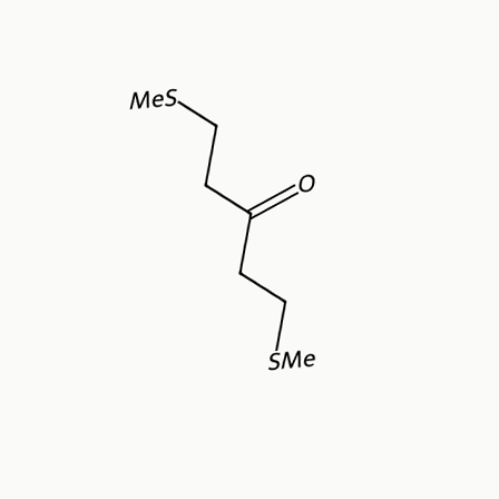 CSCCC(=O)CCSC